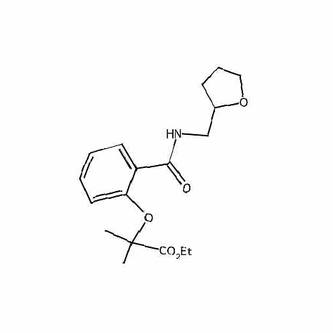 CCOC(=O)C(C)(C)Oc1ccccc1C(=O)NCC1CCCO1